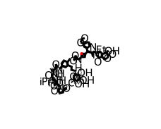 CC[C@@]1(O)C(=O)OCc2c1cc1n(c2=O)Cc2c-1nc1cc3c(cc1c2C12CC(NC(=O)OCc4ccc(NC(=O)[C@H](C)NC(=O)[C@@H](NC(=O)CN5C(=O)C=CC5=O)C(C)C)cc4CCC[C@@H]4O[C@H](C(=O)O)[C@@H](O)[C@H](O)[C@H]4O)(C1)C2)OCO3